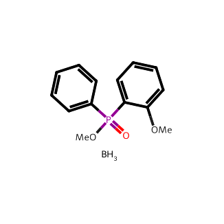 B.COc1ccccc1P(=O)(OC)c1ccccc1